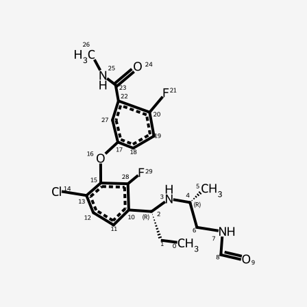 CC[C@@H](N[C@H](C)CNC=O)c1ccc(Cl)c(Oc2ccc(F)c(C(=O)NC)c2)c1F